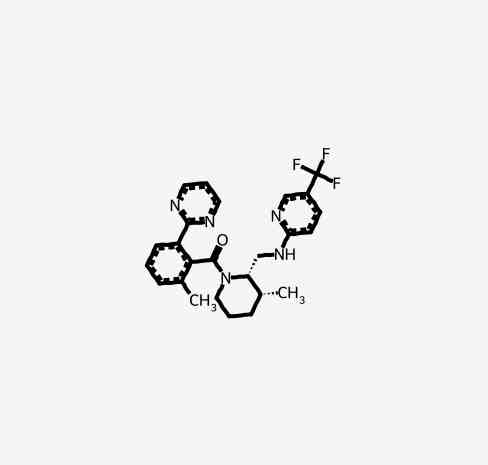 Cc1cccc(-c2ncccn2)c1C(=O)N1CCC[C@@H](C)[C@H]1CNc1ccc(C(F)(F)F)cn1